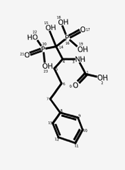 O=C(O)NC(CCCc1ccccc1)C(O)(P(=O)(O)O)P(=O)(O)O